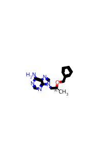 C[C@H](Cn1cnc2c(N)ncnc21)O[CH]c1ccccc1